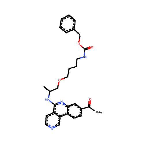 COC(=O)c1ccc2c(c1)nc(NC(C)COCCCCNC(=O)OCc1ccccc1)c1ccncc12